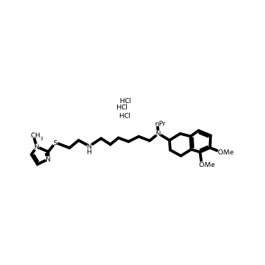 CCCN(CCCCCCNCCSc1nccn1C)C1CCc2c(ccc(OC)c2OC)C1.Cl.Cl.Cl